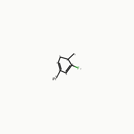 CC(C)C1=CCC(C)C(F)=C1